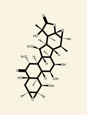 CC(=O)O[C@@H]1[C@H]2[C@H]3[C@H]([C@H](OC(C)=O)[C@H](O)[C@]2(C)[C@H]2[C@H](C)[C@@H]4O[C@@]45OC(=O)[C@@](C)(O)[C@]5(C)[C@H]12)[C@@]1(C)[C@@H](OC(C)=O)[C@H]2O[C@H]2C[C@]1(O)C(=O)[C@@H]3OC(C)=O